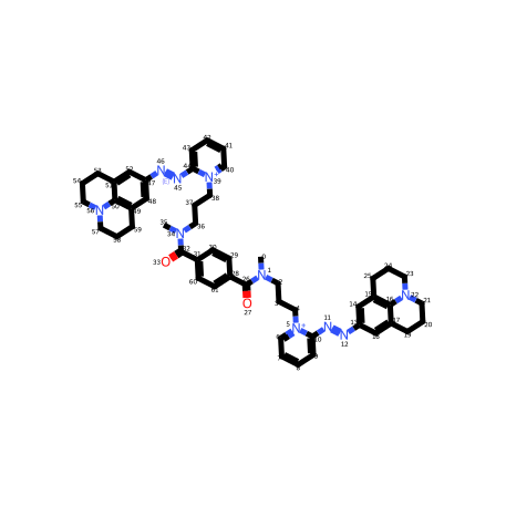 CN(CCC[n+]1ccccc1N=Nc1cc2c3c(c1)CCCN3CCC2)C(=O)c1ccc(C(=O)N(C)CCC[n+]2ccccc2/N=N/c2cc3c4c(c2)CCCN4CCC3)cc1